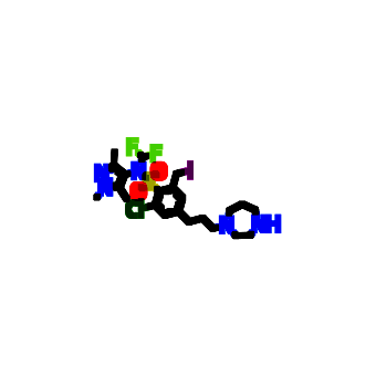 Cc1nn(C)c(C)c1N(C(F)F)S(=O)(=O)c1c(Cl)cc(CCCN2CCCNCC2)cc1CI